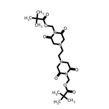 CC(C)(C)C(=O)OCN1C(=O)CN(CCN2CC(=O)N(COC(=O)C(C)(C)C)C(=O)C2)CC1=O